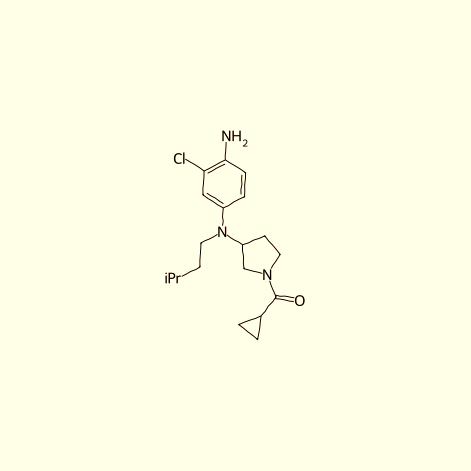 CC(C)CCN(c1ccc(N)c(Cl)c1)C1CCN(C(=O)C2CC2)C1